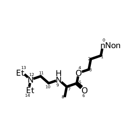 CCCCCCCCCCCCOC(=O)C(C)NCCN(CC)CC